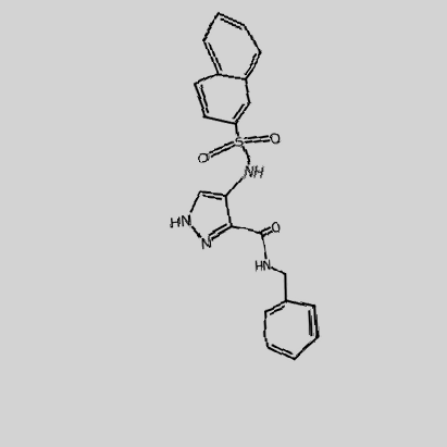 O=C(NCc1ccccc1)c1n[nH]cc1NS(=O)(=O)c1ccc2ccccc2c1